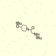 CC(C)(C)NCC(=O)N1CCC(OC(C)(C)C)CC1